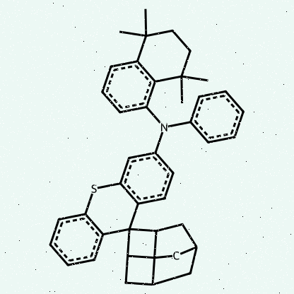 CC1(C)CCC(C)(C)c2c(N(c3ccccc3)c3ccc4c(c3)Sc3ccccc3C43C4CC5CC6CC3C64C5)cccc21